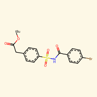 CC(C)(C)OC(=O)Cc1ccc(S(=O)(=O)NC(=O)c2ccc(Br)cc2)cc1